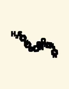 Cc1ccc(N2CCC(Oc3ccc4nc(C(=O)N5CC6CC5CN6Cc5ccncc5)oc4c3)CC2)cc1